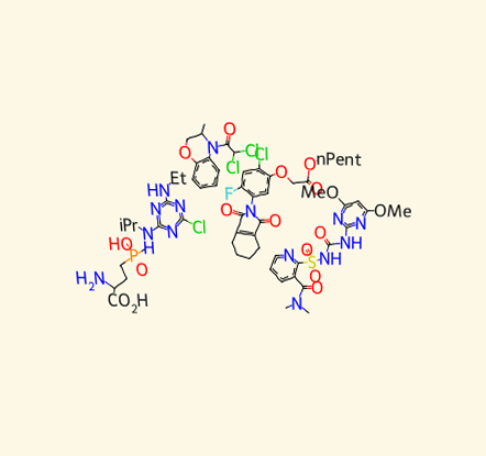 CC1COc2ccccc2N1C(=O)C(Cl)Cl.CCCCCOC(=O)COc1cc(N2C(=O)C3=C(CCCC3)C2=O)c(F)cc1Cl.CCNc1nc(Cl)nc(NC(C)C)n1.COc1cc(OC)nc(NC(=O)NS(=O)(=O)c2ncccc2C(=O)N(C)C)n1.CP(=O)(O)CCC(N)C(=O)O